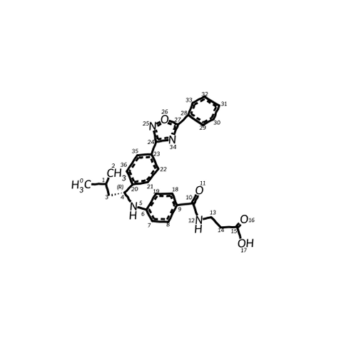 CC(C)C[C@@H](Nc1ccc(C(=O)NCCC(=O)O)cc1)c1ccc(-c2noc(-c3ccccc3)n2)cc1